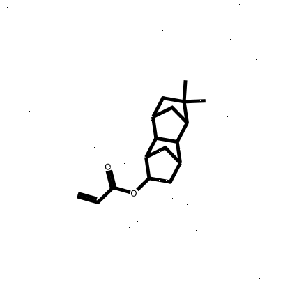 C=CC(=O)OC1CC2CC1C1C3CC(C21)C(C)(C)C3